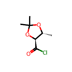 C[C@H]1OC(C)(C)O[C@@H]1C(=O)Cl